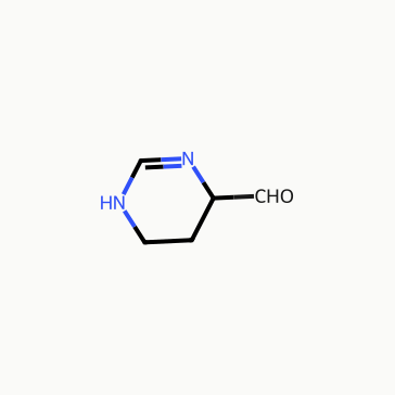 O=CC1CCNC=N1